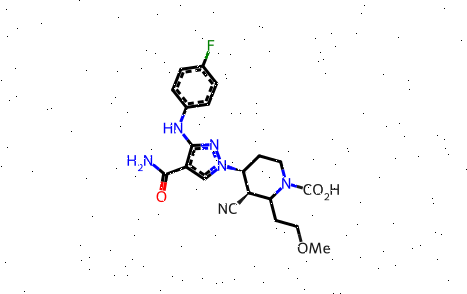 COCCC1[C@@H](C#N)[C@@H](n2cc(C(N)=O)c(Nc3ccc(F)cc3)n2)CCN1C(=O)O